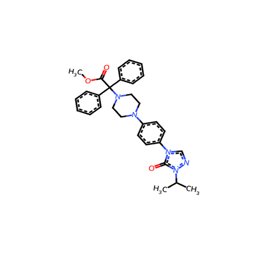 COC(=O)C(c1ccccc1)(c1ccccc1)N1CCN(c2ccc(-n3cnn(C(C)C)c3=O)cc2)CC1